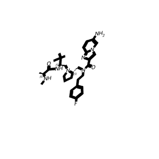 CN[C@@H](C)C(=O)N[C@H](CN1CCC[C@H]1CN(CCc1ccc(F)cc1)C(=O)c1cn2cc(N)ccc2n1)C(C)(C)C